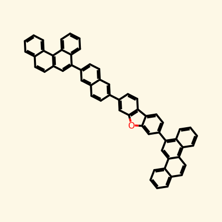 c1ccc2c(c1)ccc1c3ccccc3c(-c3ccc4c(c3)oc3cc(-c5ccc6cc(-c7cc8ccc9ccccc9c8c8ccccc78)ccc6c5)ccc34)cc21